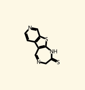 S=C1CN=Cc2c(sc3cnccc23)N1